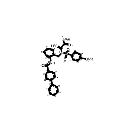 C=C(C(=O)OC)N(Cc1ccccc1NC(=O)c1ccc(-c2ccccc2)cc1)S(=O)(=O)c1ccc(OC)cc1